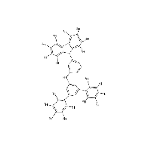 [2H]c1c([2H])c([2H])c(-c2cc(Nc3cccc(-n4c5c([2H])c([2H])c([2H])c([2H])c5c5c([2H])c([2H])c([2H])c([2H])c54)c3)cc(-c3c([2H])c([2H])c([2H])c([2H])c3[2H])c2)c([2H])c1[2H]